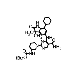 CC(C)(C)OC(=O)N[C@H]1CCCN(c2ncc(C(N)=O)c(Nc3cc(C4CCCCC4)c4c(c3)C(C)(C)C(=O)N4)n2)C1